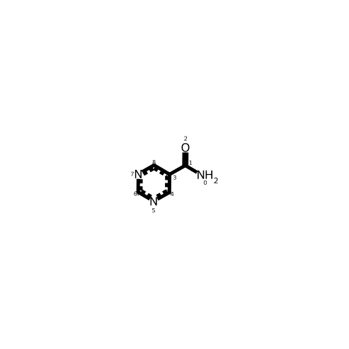 NC(=O)c1cn[c]nc1